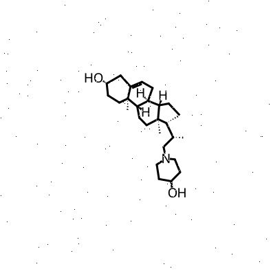 C[C@H](CN1CCC(O)CC1)[C@H]1CC[C@H]2[C@@H]3CC=C4C[C@@H](O)CC[C@]4(C)[C@H]3CC[C@]12C